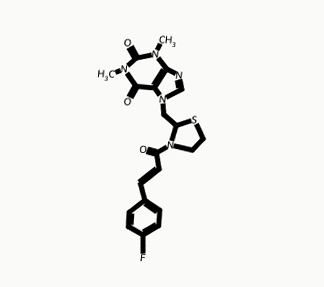 Cn1c(=O)c2c(ncn2CC2SCCN2C(=O)C=Cc2ccc(F)cc2)n(C)c1=O